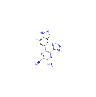 N#Cc1nc(-c2cc(F)c3[nH]ncc3c2)c(-c2ncn[nH]2)nc1N